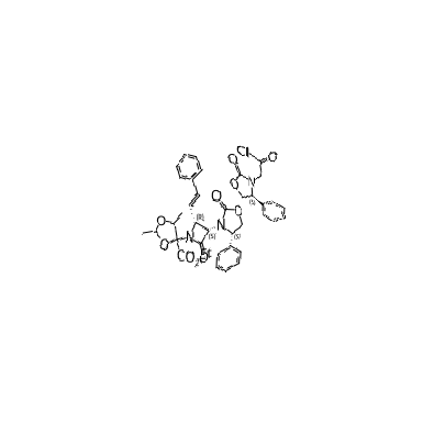 CCOC(=O)C1(N2C(=O)[C@@H](N3C(=O)OC[C@@H]3c3ccccc3)[C@H]2C=Cc2ccccc2)OC(C)OC1C.O=C(Cl)CN1C(=O)OC[C@@H]1c1ccccc1